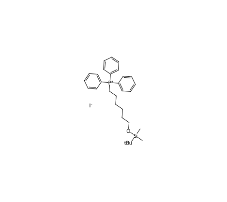 CC(C)(C)[Si](C)(C)OCCCCCC[P+](c1ccccc1)(c1ccccc1)c1ccccc1.[I-]